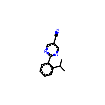 CC(C)c1ccccc1-c1ncc(C#N)cn1